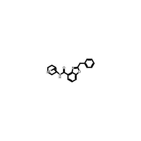 O=C(NC1CN2CCC1CC2)c1cccc2oc(Cc3ccccc3)nc12